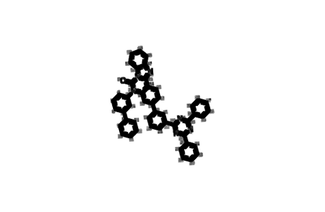 O=c1n(-c2cccc(-c3ccccc3)c2)c2cc(-c3cccc(-c4nc(-c5ccccc5)nc(-c5ccccc5)n4)c3)ccc2c2nc3ccccc3n12